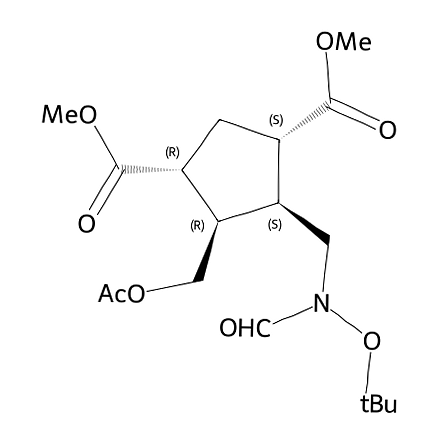 COC(=O)[C@H]1C[C@@H](C(=O)OC)[C@H](COC(C)=O)[C@@H]1CN(C=O)OC(C)(C)C